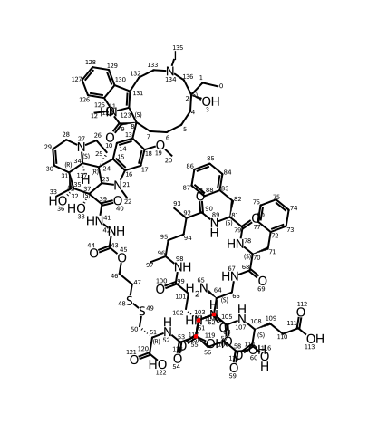 CC[C@]1(O)CCCC[C@](C(=O)OC)(c2cc3c(cc2OC)N(C)C2[C@]34CCN3CC=C[C@](CC)([C@@H]34)[C@@H](O)[C@]2(O)C(=O)NNC(=O)OCCSSC[C@H](NC(=O)[C@H](CCC(=O)O)NC(=O)[C@@H](N)CNC(=O)[C@H](Cc2ccccc2)NC(=O)[C@H](Cc2ccccc2)NC(=O)C(C)CCC(C)NC(=O)CC[C@H](NC(=O)N[C@@H](CCC(=O)O)C(=O)O)C(=O)O)C(=O)O)c2[nH]c3ccccc3c2CCN(I)C1